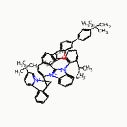 CC(C)c1cccc(C(C)C)c1-n1c2[n+](c3ccccc31)C(C13CC1c1ccccc1-c1ccc([Si](C)(C)C)c[n+]13)=CCc1ccc3c(oc4cc(-c5ccc([Si](C)(C)C)cc5)ccc43)c1-2